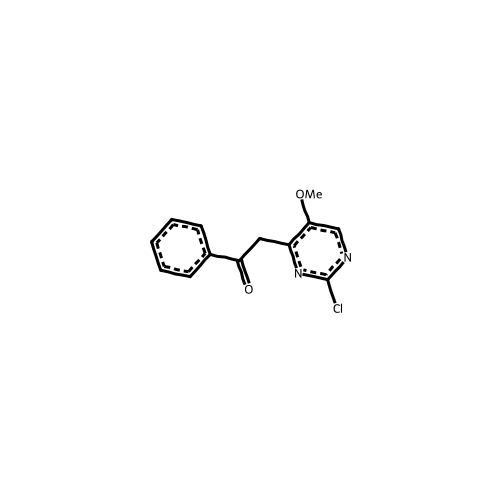 COc1cnc(Cl)nc1CC(=O)c1ccccc1